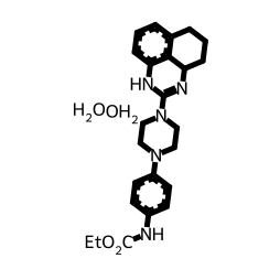 CCOC(=O)Nc1ccc(N2CCN(C3=NC4CCCc5cccc(c54)N3)CC2)cc1.O.O